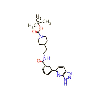 CC(C)(C)OC(=O)N1CCC(CCNC(=O)c2cccc(-c3ccc4nn[nH]c4n3)c2)CC1